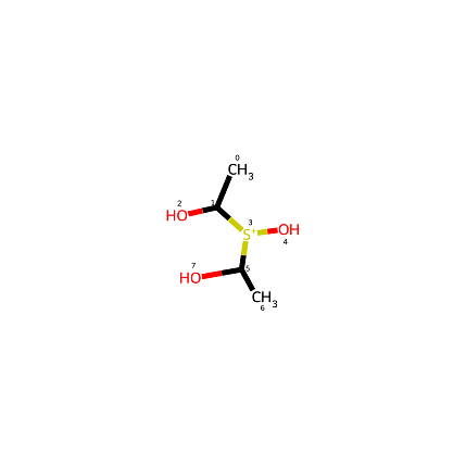 CC(O)[S+](O)C(C)O